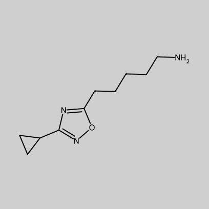 NCCCCCc1nc(C2CC2)no1